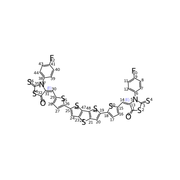 O=C1SC(=S)N(c2ccc(F)cc2)/C1=C/c1ccc(-c2cc3sc4cc(-c5ccc(/C=C6\C(=O)SC(=S)N6c6ccc(F)cc6)s5)sc4c3s2)s1